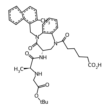 Cc1ccc2ccccc2c1CN1C(=O)[C@@H](NC(=O)[C@H](C)NCC(=O)OC(C)(C)C)CN(C(=O)CCCCC(=O)O)c2ccccc21